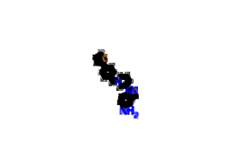 Nc1ccc2c(cnn2C2CCCN(Cc3ccc(-c4cccs4)cc3)C2)c1